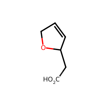 O=C(O)CC1C=CCO1